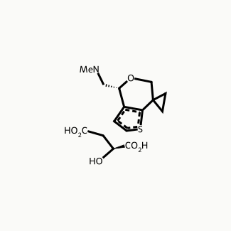 CNC[C@@H]1OCC2(CC2)c2sccc21.O=C(O)C[C@H](O)C(=O)O